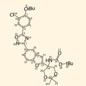 CC(C)COc1ccc(-c2nc(-c3ccc4oc(C5(NC(=O)OC(C)(C)C)COC(C)(C)OC5)cc4c3)no2)cc1Cl